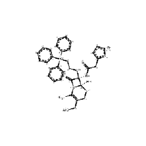 Br.CC(=O)OCC1=C(C(=O)O)N2C(=O)[C@@](NC(=O)Cc3cccs3)(OCC[PH](c3ccccc3)(c3ccccc3)c3ccccc3)[C@H]2SC1